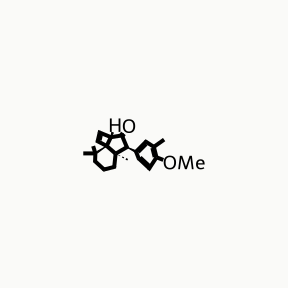 COc1ccc([C@@H]2C(=O)[C@H]3C=C[C@]34C(C)(C)CCC[C@]24C)cc1C